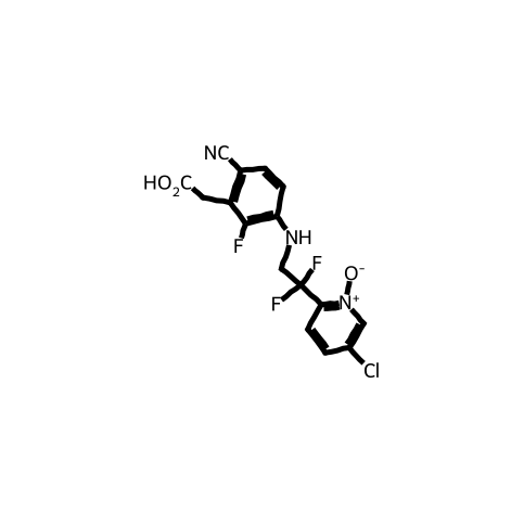 N#Cc1ccc(NCC(F)(F)c2ccc(Cl)c[n+]2[O-])c(F)c1CC(=O)O